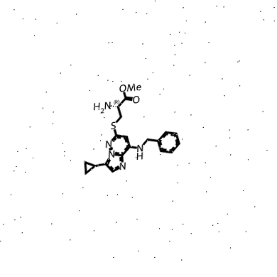 COC(=O)[C@@H](N)CSc1cc(NCc2ccccc2)c2ncc(C3CC3)n2n1